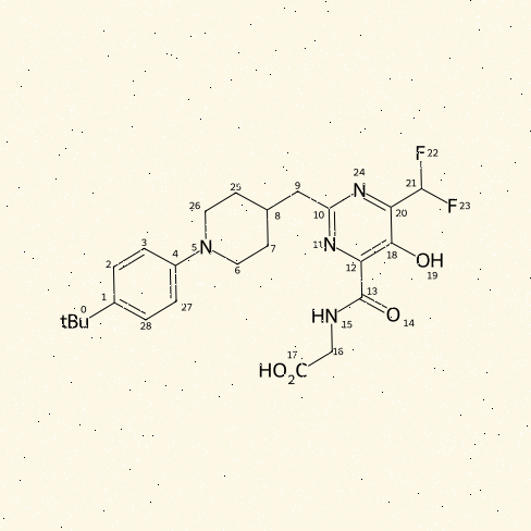 CC(C)(C)c1ccc(N2CCC(Cc3nc(C(=O)NCC(=O)O)c(O)c(C(F)F)n3)CC2)cc1